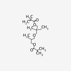 C=C(C)C(=O)OCC(CC)COCC(CC)(CC)COC(=O)C(=C)C